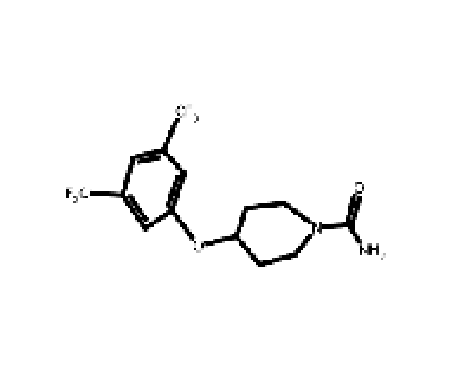 NC(=O)N1CCC(Oc2cc(C(F)(F)F)cc(C(F)(F)F)c2)CC1